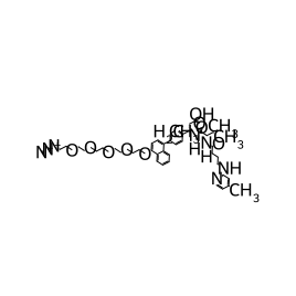 C=C(/C=C\C(=C/C)c1ccc(OCCOCCOCCOCCOCCN=[N+]=[N-])c2ccccc12)[C@H](CC(=O)O)NC(=O)[C@@H](NC(=O)CCCNc1cc(C)ccn1)C(C)C